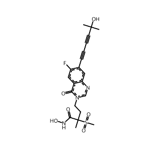 CC(C)(O)C#CC#Cc1cc2ncn(CCC(C)(C(=O)NO)S(C)(=O)=O)c(=O)c2cc1F